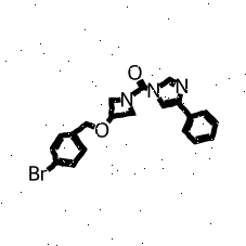 O=C(N1CC(OCc2ccc(Br)cc2)C1)n1cnc(-c2ccccc2)c1